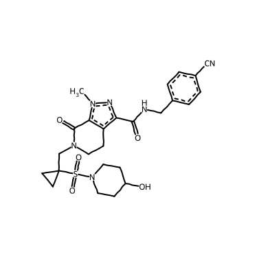 Cn1nc(C(=O)NCc2ccc(C#N)cc2)c2c1C(=O)N(CC1(S(=O)(=O)N3CCC(O)CC3)CC1)CC2